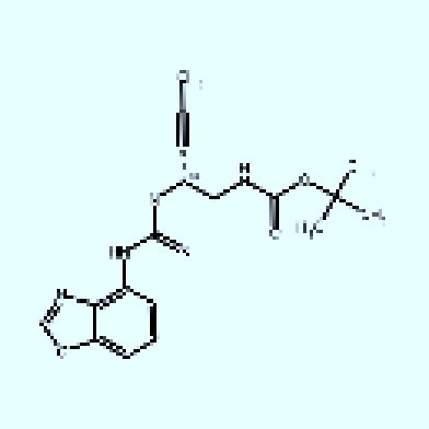 CC#C[C@H](CNC(=O)OC(C)(C)C)NC(=S)Nc1cccc2ocnc12